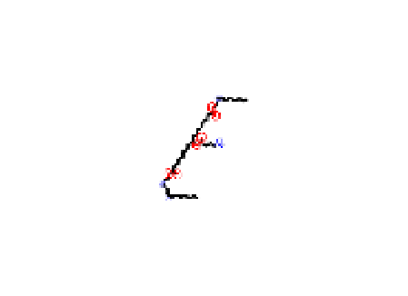 CCCCCC/C=C\C/C=C\COC(=O)CCCCCCCC(CCCCCCCC(=O)OC/C=C\CCCCCC)OC(=O)CCCN(C)C